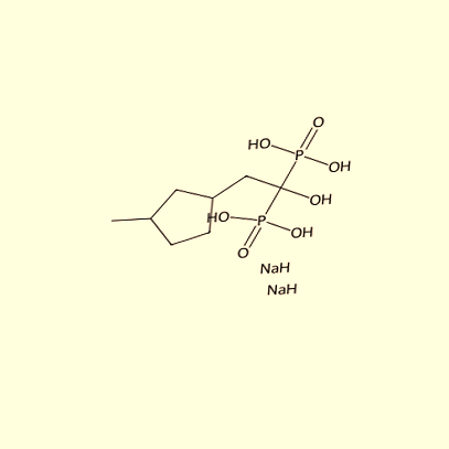 CC1CCC(CC(O)(P(=O)(O)O)P(=O)(O)O)C1.[NaH].[NaH]